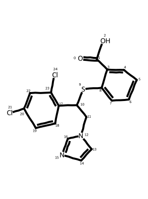 O=C(O)c1ccccc1SC(Cn1ccnc1)c1ccc(Cl)cc1Cl